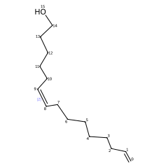 C=CCCCCCC/C=C\CCCCCO